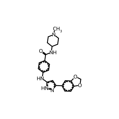 CN1CCC(NC(=O)c2ccc(Nc3cc(-c4ccc5c(c4)OCO5)n[nH]3)cc2)CC1